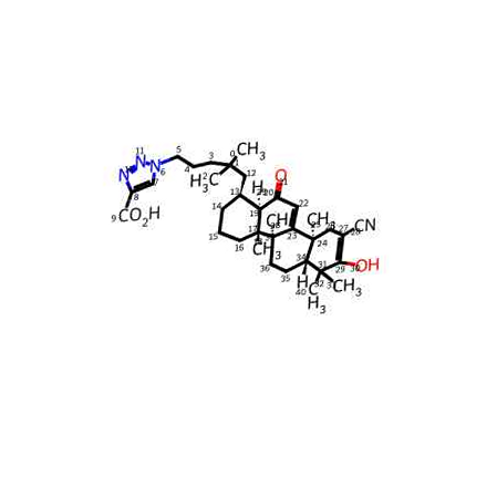 CC(C)(CCCn1cc(C(=O)O)nn1)C[C@@H]1CCC[C@]2(C)[C@@H]1C(=O)C=C1[C@@]3(C)CC(C#N)=C(O)C(C)(C)[C@@H]3CC[C@]12C